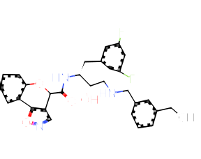 CCc1cccc(CNC[C@H](O)[C@H](Cc2cc(F)cc(F)c2)NC(=O)C2Oc3ccccc3-c3oncc32)c1